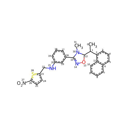 CC(c1cccc2ccccc12)C1ON=C(c2cccc(NCc3ccc([N+](=O)[O-])s3)c2)N1C